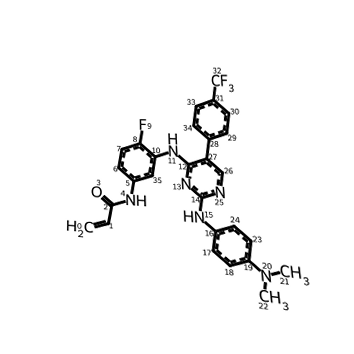 C=CC(=O)Nc1ccc(F)c(Nc2nc(Nc3ccc(N(C)C)cc3)ncc2-c2ccc(C(F)(F)F)cc2)c1